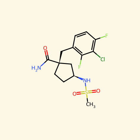 CS(=O)(=O)N[C@H]1CC[C@](Cc2ccc(F)c(Cl)c2F)(C(N)=O)C1